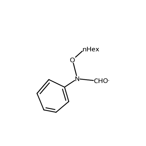 CCCCCCON([C]=O)c1ccccc1